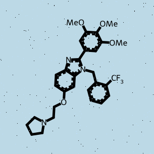 COc1cc(-c2nc3ccc(OCCN4CCCC4)cc3n2Cc2ccccc2C(F)(F)F)cc(OC)c1OC